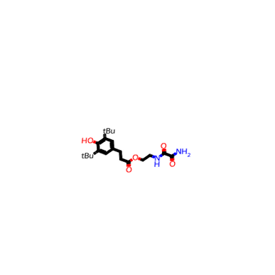 CC(C)(C)c1cc(CCC(=O)OCCNC(=O)C(N)=O)cc(C(C)(C)C)c1O